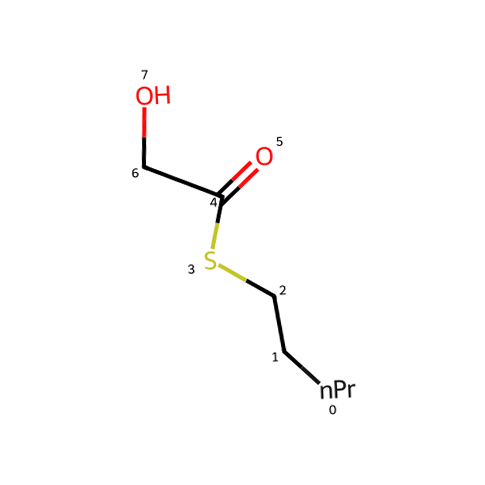 CCCCCSC(=O)CO